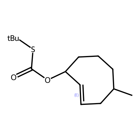 CC1C/C=C/C(OC(=O)SC(C)(C)C)CCC1